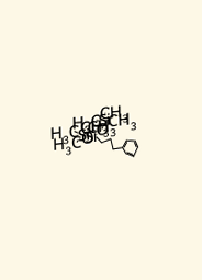 C[Si](C)(C)O[Si](C)(CCCc1ccccc1)O[Si](C)(C)C